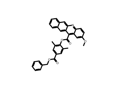 COc1ccc2nc3cc4ccccc4cc3c(C(=O)Oc3c(C)cc(C(=O)OCc4ccccc4)cc3C)c2c1